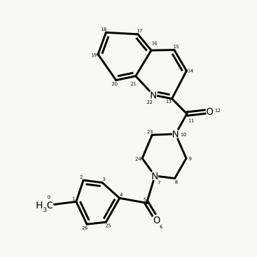 Cc1ccc(C(=O)N2CCN(C(=O)c3ccc4ccccc4n3)CC2)cc1